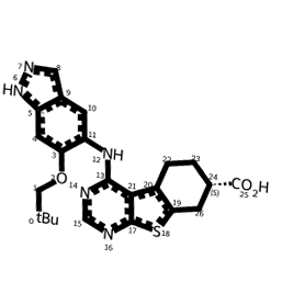 CC(C)(C)COc1cc2[nH]ncc2cc1Nc1ncnc2sc3c(c12)CC[C@H](C(=O)O)C3